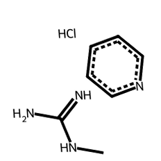 CNC(=N)N.Cl.c1ccncc1